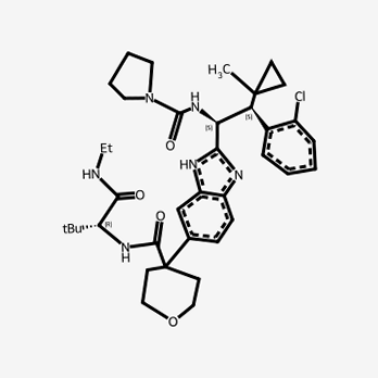 CCNC(=O)[C@H](NC(=O)C1(c2ccc3nc([C@@H](NC(=O)N4CCCC4)[C@H](c4ccccc4Cl)C4(C)CC4)[nH]c3c2)CCOCC1)C(C)(C)C